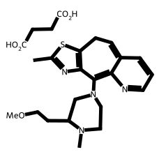 COCCC1CN(C2=c3ncccc3=CCc3sc(C)nc32)CCN1C.O=C(O)CCC(=O)O